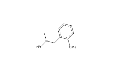 CCCN(C)Cc1ccccc1OC